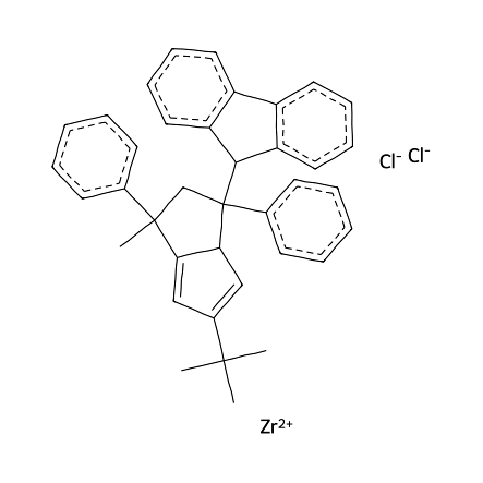 CC(C)(C)C1=CC2C(=C1)C(C)(c1ccccc1)CC2(c1ccccc1)C1c2ccccc2-c2ccccc21.[Cl-].[Cl-].[Zr+2]